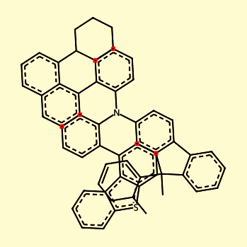 CC1CC=CC=C1C1(C)c2ccccc2-c2ccc(N(c3ccccc3-c3cccc4cccc(C5CCCCC5)c34)c3ccccc3-c3cccc4sc5ccccc5c34)cc21